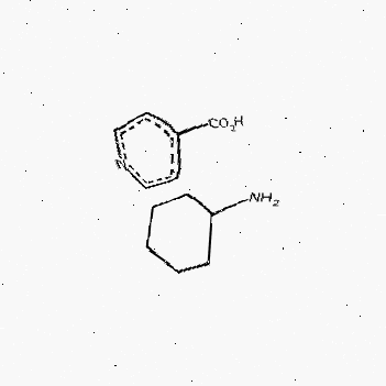 NC1CCCCC1.O=C(O)c1ccncc1